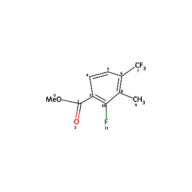 COC(=O)c1ccc(C(F)(F)F)c(C)c1F